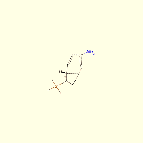 CS(C)(C)C1CC2C=C(N)C=C[C@H]21